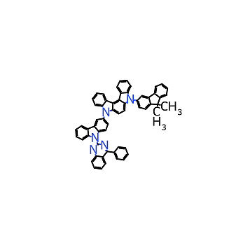 CC1(C)c2ccccc2-c2cc(-n3c4ccccc4c4c5c6ccccc6n(-c6ccc7c(c6)c6ccccc6n7-c6nc(-c7ccccc7)c7ccccc7n6)c5ccc43)ccc21